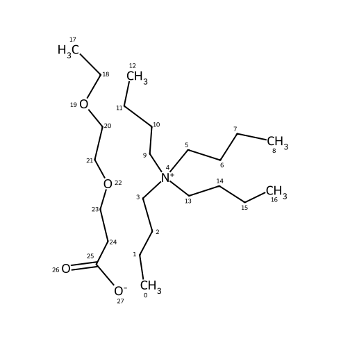 CCCC[N+](CCCC)(CCCC)CCCC.CCOCCOCCC(=O)[O-]